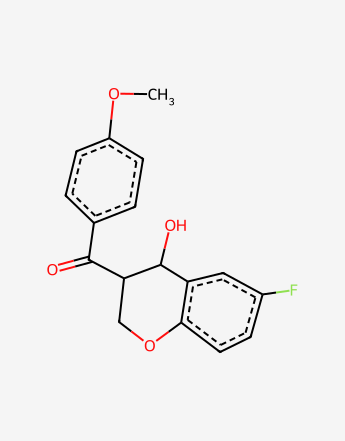 COc1ccc(C(=O)C2COc3ccc(F)cc3C2O)cc1